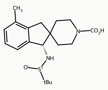 Cc1cccc2c1CC1(CCN(C(=O)O)CC1)[C@@H]2N[S+]([O-])C(C)(C)C